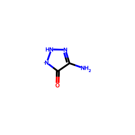 NC1=NN[N]C1=O